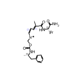 C=[N+](/C=C\C=C(/C)C(=O)N[C@H](C(N)=O)C(C)C)COC(=O)N[C@@H](C)Cc1ccccc1